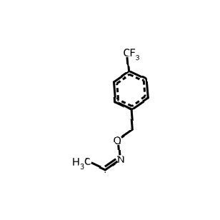 C/[C]=N\OCc1ccc(C(F)(F)F)cc1